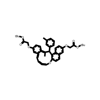 C/C1=c2/ccc(OCC(=O)OC(C)(C)C)c/c2=C/C=C=COc2ccc3cc(OCC(=O)OC(C)(C)C)ccc3c2C1c1cccc(C)c1